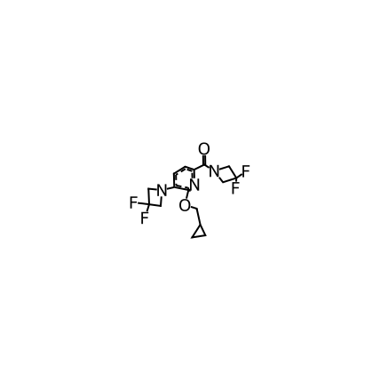 O=C(c1ccc(N2CC(F)(F)C2)c(OCC2CC2)n1)N1CC(F)(F)C1